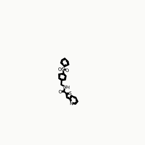 O=C(NCc1ccc(S(=O)(=O)c2ccccc2)cc1)c1cc2ncccc2s1